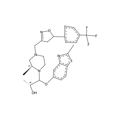 Cc1nc2cc(OC([C@@H](C)O)N3CCN(CC4=NOC(c5ccc(C(F)(F)F)cc5)C4)C[C@@H]3C)ccc2s1